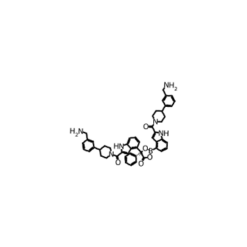 NCc1cccc(C2CCN(C(=O)c3cc4c(B5OC(=O)[C@@](c6ccccc6)(c6cccc7[nH]c(C(=O)N8CCC(c9cccc(CN)c9)CC8)cc67)O5)cccc4[nH]3)CC2)c1